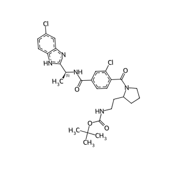 C[C@H](NC(=O)c1ccc(C(=O)N2CCCC2CCNC(=O)OC(C)(C)C)c(Cl)c1)c1nc2cc(Cl)ccc2[nH]1